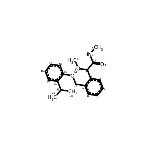 CNC(=O)C(OC)c1ccccc1COc1ccccc1C(C)C